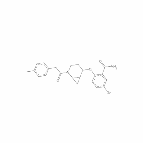 Cc1ccc(CC(=O)N2CCC(Oc3ccc(Br)cc3C(N)=O)C3CC32)cc1